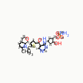 Cc1ccc2c(n1)[C@@H](c1cc(C(=O)c3cncnc3N[C@@H]3C[C@H](COS(N)(=O)=O)[C@@H](O)C3)sc1C)OCC2